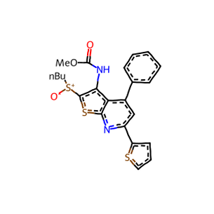 CCCC[S+]([O-])c1sc2nc(-c3cccs3)cc(-c3ccccc3)c2c1NC(=O)OC